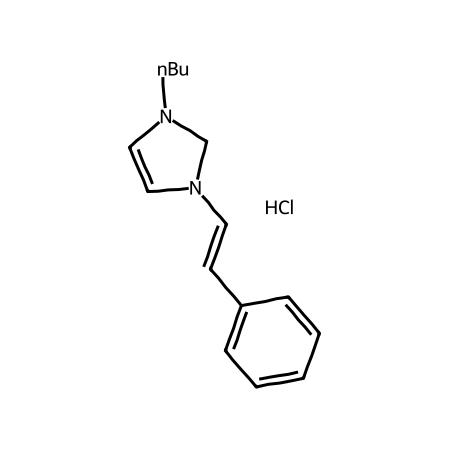 CCCCN1C=CN(C=Cc2ccccc2)C1.Cl